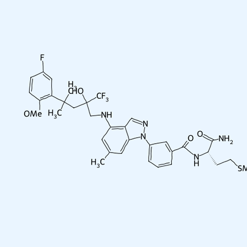 COc1ccc(F)cc1C(C)(C)CC(O)(CNc1cc(C)cc2c1cnn2-c1cccc(C(=O)N[C@@H](CCSC)C(N)=O)c1)C(F)(F)F